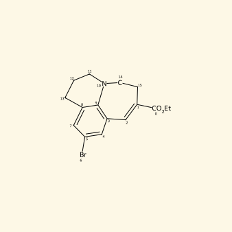 CCOC(=O)C1=Cc2cc(Br)cc3c2N(CCC3)CC1